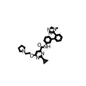 Cn1cnnc1-c1ccccc1-c1cccc(NC(=O)c2cc(OCCN3CCCC3)nc(C3CC3)n2)c1